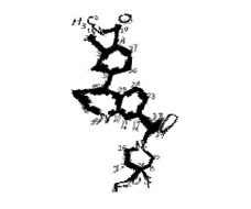 CN1Cc2cc(-c3ccnc4cc(C(=O)N5CCC(F)(F)CC5)ccc34)ccc2C1=O